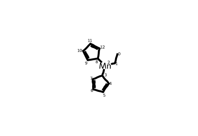 C[CH2][Mn]([CH]1C=CC=C1)[CH]1C=CC=C1